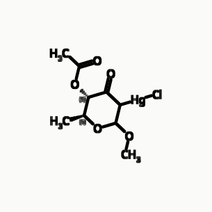 COC1O[C@@H](C)[C@H](OC(C)=O)C(=O)[CH]1[Hg][Cl]